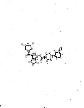 Cc1c(Cl)cccc1N1CCN(C(=O)Cn2nc(C(=O)N3C[C@@H](C)O[C@@H](C)C3)c3c2CCC3)CC1